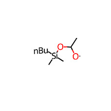 CCCC[Si](C)(C)OC(C)[O]